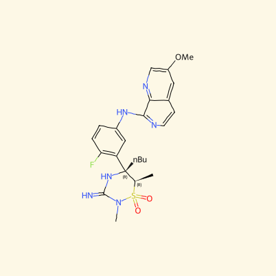 CCCC[C@]1(c2cc(Nc3nccc4cc(OC)cnc34)ccc2F)NC(=N)N(C)S(=O)(=O)[C@@H]1C